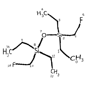 CC[Si](CC)(CF)O[Si](CC)(CC)CF